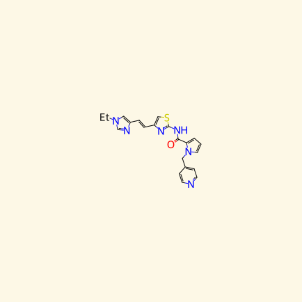 CCn1cnc(C=Cc2csc(NC(=O)c3cccn3Cc3ccncc3)n2)c1